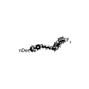 CCCCCCCCCCc1cnc(-c2ccc(OCCCCCOCC(F)(F)OC(F)(F)C(F)(F)OC(F)(F)C(F)(F)C(F)(F)C(F)(F)F)cc2)nc1